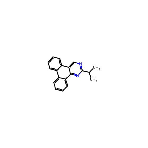 CC(C)c1ncc2c3ccccc3c3ccccc3c2n1